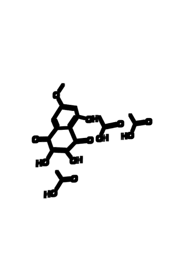 CC(=O)O.CC(=O)O.CC(=O)O.COc1cc(O)c2c(c1)C(=O)C(O)=C(O)C2=O